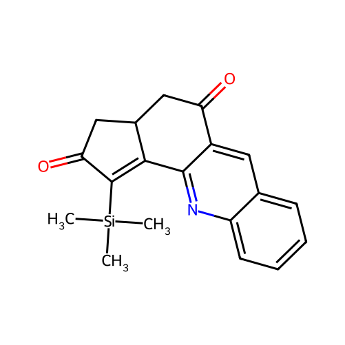 C[Si](C)(C)C1=C2c3nc4ccccc4cc3C(=O)CC2CC1=O